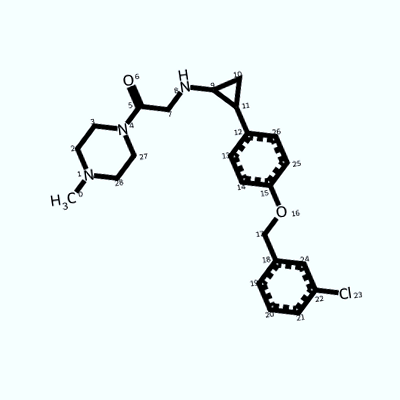 CN1CCN(C(=O)CNC2CC2c2ccc(OCc3cccc(Cl)c3)cc2)CC1